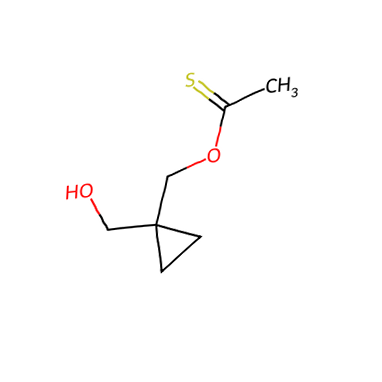 CC(=S)OCC1(CO)CC1